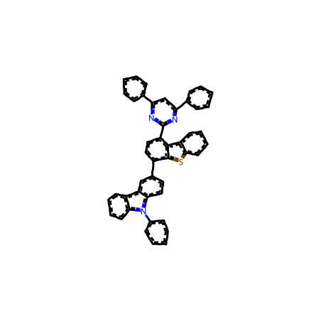 c1ccc(-c2cc(-c3ccccc3)nc(-c3ccc(-c4ccc5c(c4)c4ccccc4n5-c4ccccc4)c4sc5ccccc5c34)n2)cc1